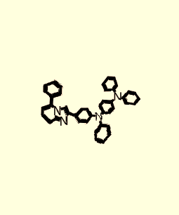 c1ccc(-c2cccc3nc(-c4ccc(N(c5ccccc5)c5ccc(N(c6ccccc6)c6ccccc6)cc5)cc4)cn23)cc1